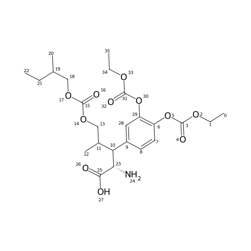 CCOC(=O)Oc1ccc(C(C(C)COC(=O)OCC(C)CC)[C@H](N)C(=O)O)cc1OC(=O)OCC